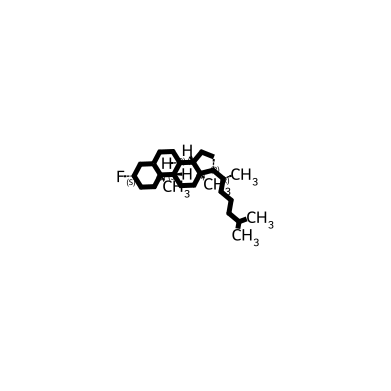 CC(C)CCC[C@@H](C)[C@H]1CC[C@H]2[C@@H]3CCC4C[C@@H](F)CC[C@]4(C)[C@H]3CC[C@]12C